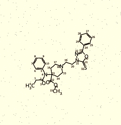 CCC(=O)N(c1ccccc1)C1(C(=O)OC)CCN(CCn2nc(-c3ccccc3)oc2=S)CC1